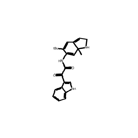 CC(C)(C)C1=CC2=CCNC2(C)C=C1NC(=O)C(=O)c1c[nH]c2ccccc12